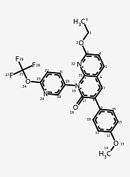 CCOc1ccc2cc(-c3ccc(OC)cc3)c(=O)n(-c3ccc(OC(F)(F)F)nc3)c2n1